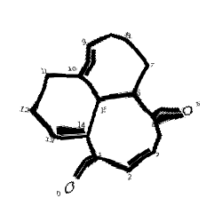 O=C1C=CC(=O)C2CCC=C3CCC=C1C32